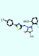 COc1cccc(F)c1C1CC(C)C(=O)N1Cc1csc(-c2ccc(C)cc2)n1